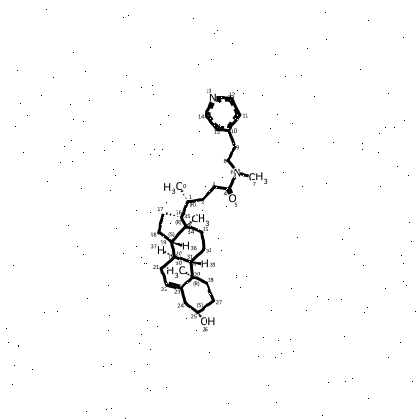 C[C@H](CCC(=O)N(C)CCc1ccncc1)[C@H]1CC[C@H]2[C@@H]3CC=C4C[C@@H](O)CC[C@]4(C)[C@H]3CC[C@]12C